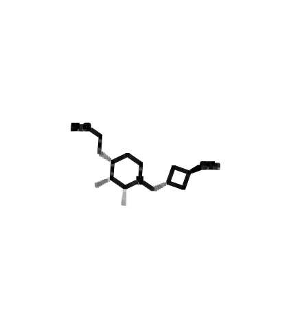 COCC[C@@H]1CCN(C[C@H]2C[C@H](OC)C2)[C@H](C)[C@@H]1C